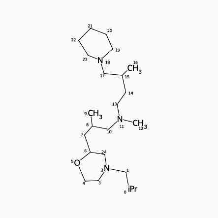 CC(C)CN1CCOC(CC(C)CN(C)CCC(C)CN2CCCCC2)C1